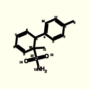 Cc1ccc(C2C=CC=CC2(C)S(N)(=O)=O)cc1